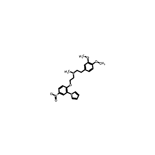 COc1ccc(CCN(C)CCOc2ccc([N+](=O)[O-])cc2-n2cccc2)cc1OC